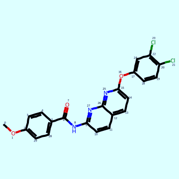 COc1ccc(C(=O)Nc2ccc3ccc(Oc4ccc(Cl)c(Cl)c4)nc3n2)cc1